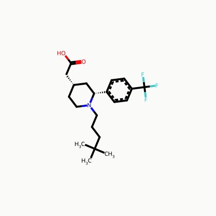 CC(C)(C)CCCN1CC[C@H](CC(=O)O)C[C@@H]1c1ccc(C(F)(F)F)cc1